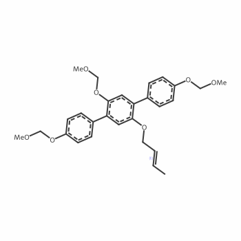 C/C=C/COc1cc(-c2ccc(OCOC)cc2)c(OCOC)cc1-c1ccc(OCOC)cc1